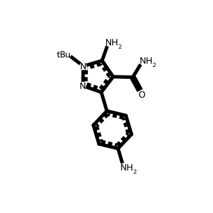 CC(C)(C)n1nc(-c2ccc(N)cc2)c(C(N)=O)c1N